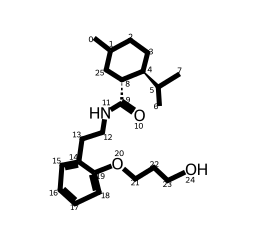 CC1CC[C@@H](C(C)C)[C@H](C(=O)NCCc2ccccc2OCCCO)C1